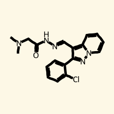 CN(C)CC(=O)NN=Cc1c(-c2ccccc2Cl)nn2ccccc12